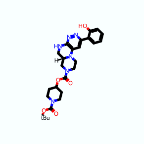 CC(C)(C)OC(=O)N1CCC(OC(=O)N2CCN3c4cc(-c5ccccc5O)nnc4NC[C@H]3C2)CC1